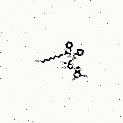 C#C[C@]1(CO[P@@](=O)(N[C@@H](Cc2ccccc2)C(=O)OCCCCCCCCCCCCCCCCCC)Oc2ccccc2)O[C@@H](n2cnc3c(N)nc(F)nc32)C[C@@H]1O